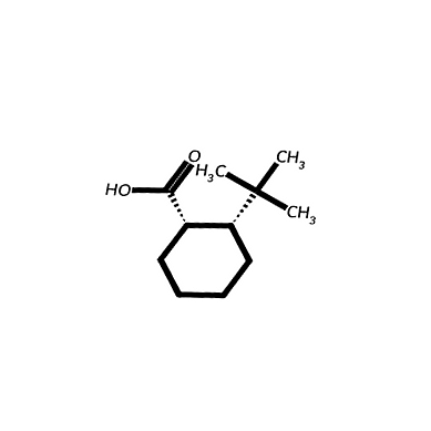 CC(C)(C)[C@@H]1CCCC[C@@H]1C(=O)O